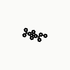 c1ccc(-c2cccc(N(c3ccccc3)c3ccc4c(c3)-c3ccccc3C43c4ccccc4-c4cc(N(c5ccccc5)c5ccccc5)ccc43)c2)cc1